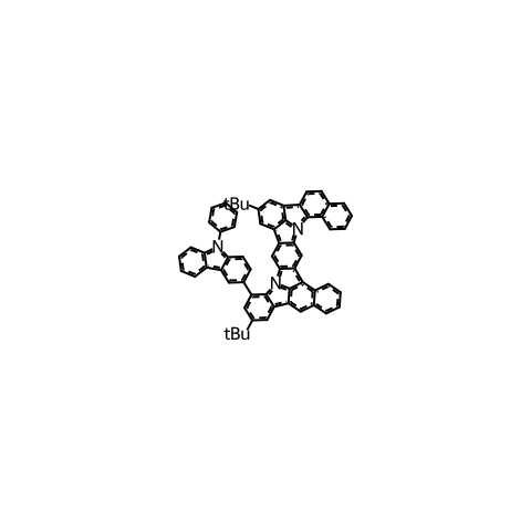 CC(C)(C)c1cc(-c2ccc3c(c2)c2ccccc2n3-c2ccccc2)c2c(c1)c1cc3ccccc3c3c4cc5c(cc4n2c13)c1cc(C(C)(C)C)cc2c3ccc4ccccc4c3n5c12